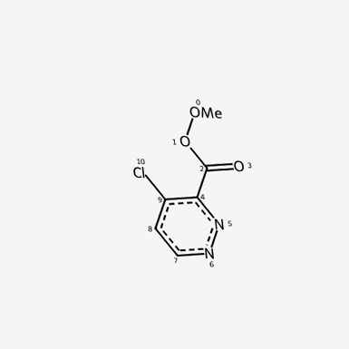 COOC(=O)c1nnccc1Cl